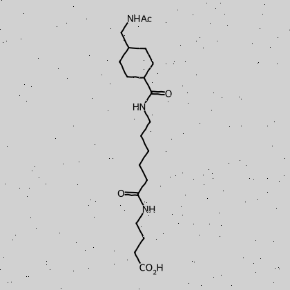 CC(=O)NCC1CCC(C(=O)NCCCCCC(=O)NCCCC(=O)O)CC1